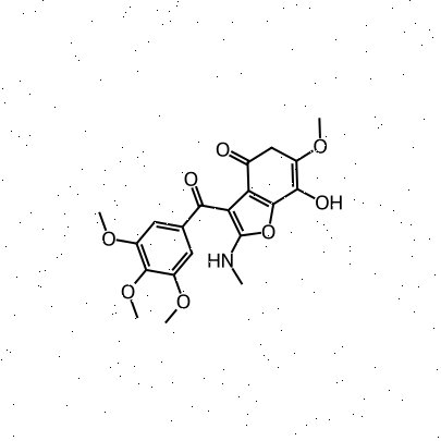 CNc1oc2c(c1C(=O)c1cc(OC)c(OC)c(OC)c1)C(=O)CC(OC)=C2O